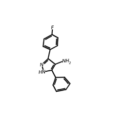 Nc1c(-c2ccc(F)cc2)n[nH]c1-c1ccccc1